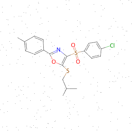 Cc1ccc(-c2nc(S(=O)(=O)c3ccc(Cl)cc3)c(SCC(C)C)o2)cc1